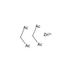 CC(=O)CC(C)=O.CC(=O)CC(C)=O.[Zn+2]